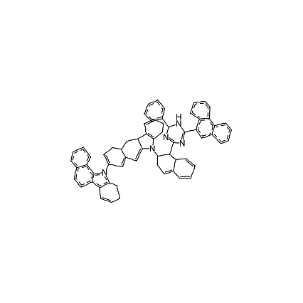 C1=CC2=CCC(N3C4=CC5=CC(n6c7c(c8ccc9ccccc9c86)C=CCC7)=CCC5CC4C4=C3CCC=C4)C(C3=NC(c4ccccc4)NC(c4cc5ccccc5c5ccccc45)=N3)C2C=C1